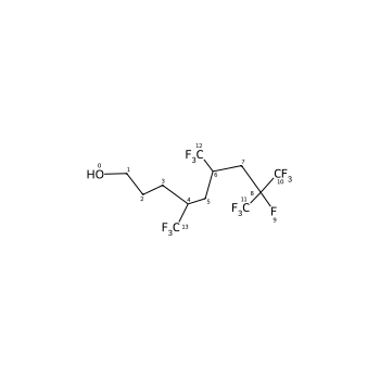 OCCCC(CC(CC(F)(C(F)(F)F)C(F)(F)F)C(F)(F)F)C(F)(F)F